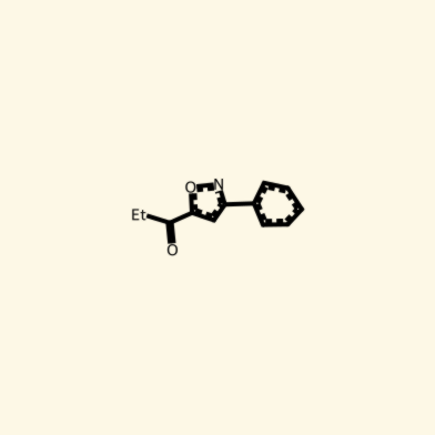 CCC(=O)c1cc(-c2ccccc2)no1